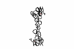 O=C(Cc1cc2cc(CC(=O)Oc3ccc4c5c3O[C@H]3C(=O)CC[C@@]6(O)[C@@H](C4)N(CC4CC4)CC[C@]536)sc2s1)Oc1ccc2c3c1O[C@H]1C(=O)CC[C@@]4(O)[C@@H](C2)N(CC2CC2)CC[C@]314